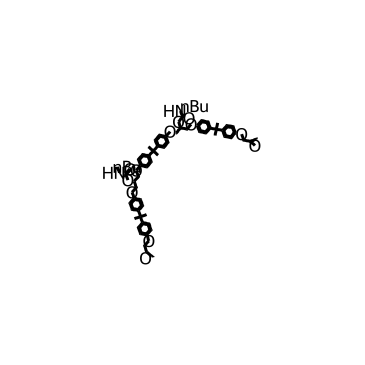 CCCCNC(=O)OC(COc1ccc(C(C)(C)c2ccc(OCC3CO3)cc2)cc1)COc1ccc(C(C)(C)c2ccc(OCC(COc3ccc(C(C)(C)c4ccc(OCC5CO5)cc4)cc3)OC(=O)NCCCC)cc2)cc1